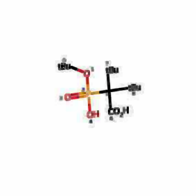 CC(C)(C)OP(=O)(O)C(C(=O)O)(C(C)(C)C)C(C)(C)C